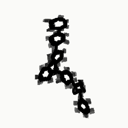 c1ccc(-c2ccc(-c3ccc4c(c3)c3ccccc3n4-c3ccc(-c4nnc(-c5ccccc5)o4)cc3)cc2)cc1